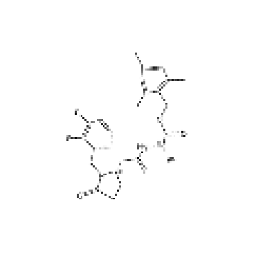 Cc1cc(C)c(COC(=O)[C@@H](NC(=O)C[C@@H]2CCC(=O)N2Cc2cccc(F)c2F)C(C)C)c(C)c1